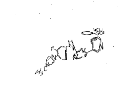 CN1CC2CC1CN2c1ccc(Nc2nccc(-c3cncc(S(C)(=O)=O)c3)n2)cc1F